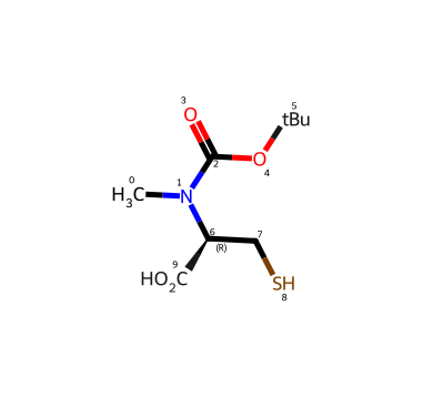 CN(C(=O)OC(C)(C)C)[C@@H](CS)C(=O)O